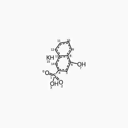 O=S(=O)(O)c1cc(O)c2ccccc2c1.[KH]